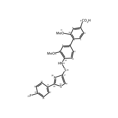 COc1cc(-c2ccc(C(=O)O)cc2OC)ccc1NSc1csc(-c2ccc(F)cc2)n1